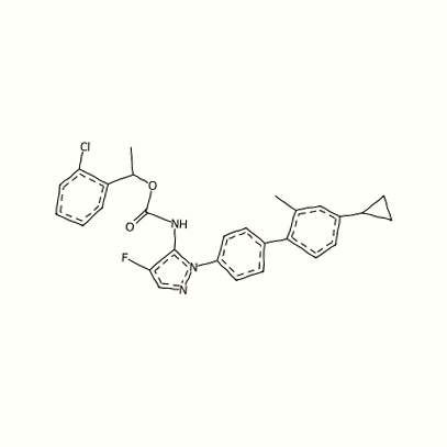 Cc1cc(C2CC2)ccc1-c1ccc(-n2ncc(F)c2NC(=O)OC(C)c2ccccc2Cl)cc1